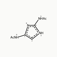 CC(=O)Nc1c[nH]c(NC(C)=O)n1